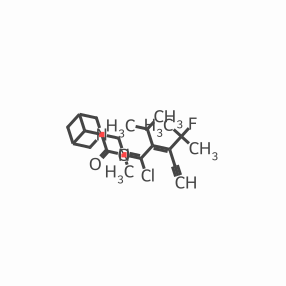 C#C/C(=C(\C(Cl)=N/CN1CC2CC(C1)C2CC(=O)OC)C(C)C)C(C)(C)F